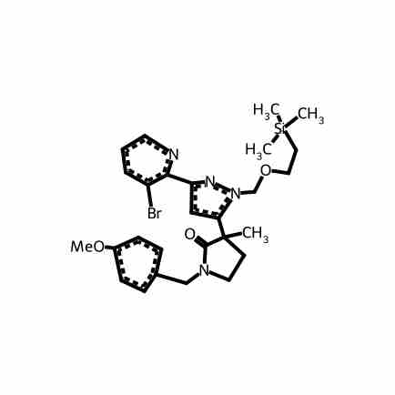 COc1ccc(CN2CCC(C)(c3cc(-c4ncccc4Br)nn3COCC[Si](C)(C)C)C2=O)cc1